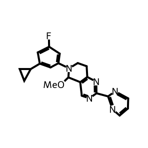 COC1c2cnc(-c3ncccn3)nc2CCN1c1cc(F)cc(C2CC2)c1